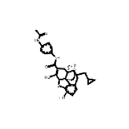 CC(=O)Nc1ccc(NC(=O)C2=C(O)C3Oc4c(O)ccc5c4[C@@]34CCN(CC3CC3)[C@H](C5)[C@]4(O)C2)cc1